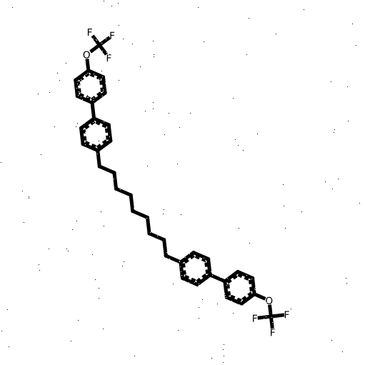 FC(F)(F)Oc1ccc(-c2ccc(CCCCCCCCCc3ccc(-c4ccc(OC(F)(F)F)cc4)cc3)cc2)cc1